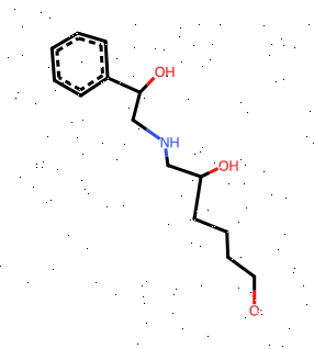 [O]CCCCC(O)CNCC(O)c1ccccc1